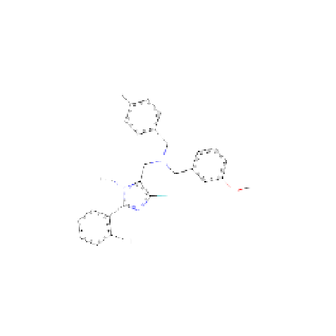 CCCCn1c(-c2ccccc2C)nc(F)c1CN(Cc1ccc(C(=O)O)cc1)Cc1cccc(OCC)c1